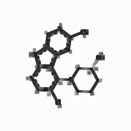 N#Cc1cc2c(cn1)[nH]c1ncc(Cl)c(N3CCC[C@@H](O)C3)c12